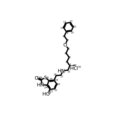 C[C@H](CCCCOCCc1ccccc1)CNCCc1ccc(O)c2[nH]c(=O)sc12.Cl